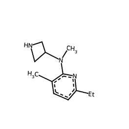 CCc1ccc(C)c(N(C)C2CNC2)n1